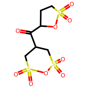 O=C(C1CS(=O)(=O)OS(=O)(=O)C1)C1CCS(=O)(=O)O1